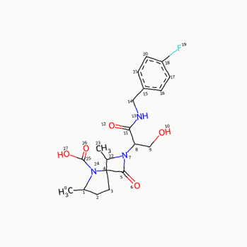 CC1CCC2(C(=O)N(C(CO)C(=O)NCc3ccc(F)cc3)C2C)N1C(=O)O